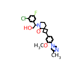 COc1cc(C2CC3(CCCN(C(CO)c4cc(F)cc(Cl)c4)C3=O)C2)ccc1-n1cnc(C)c1